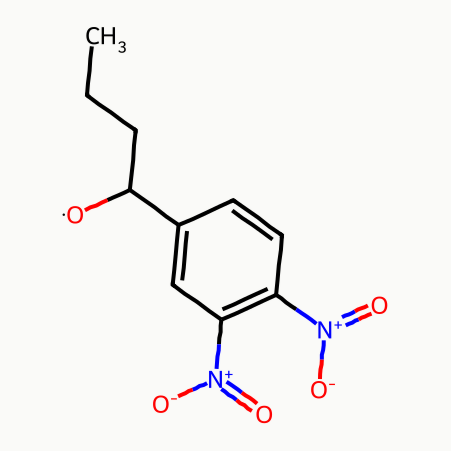 CCCC([O])c1ccc([N+](=O)[O-])c([N+](=O)[O-])c1